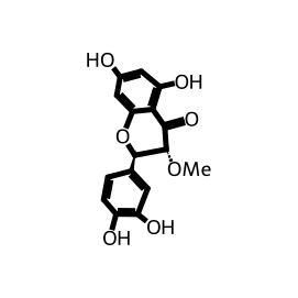 CO[C@H]1C(=O)c2c(O)cc(O)cc2O[C@@H]1c1ccc(O)c(O)c1